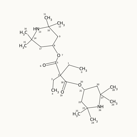 CCC(CC)(C(=O)OC1CC(C)(C)NC(C)(C)C1)C(=O)OC1CC(C)(C)NC(C)(C)C1